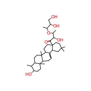 CC(OC(C)C(O)C(=O)C12CCC3C(=CCC4C3(C)CCC3C(C)C(O)CCC34C)C1CC(C)(C)CC2)C(O)CO